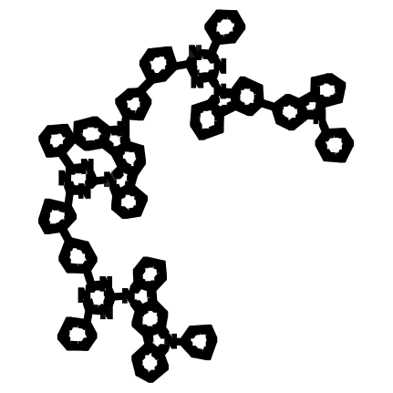 c1ccc(-c2nc(-c3cccc(-c4ccc(-n5c6ccccc6c6c5ccc5c7ccccc7n(-c7nc(-c8ccccc8)nc(-c8cccc(-c9ccc(-c%10nc(-c%11ccccc%11)nc(-n%11c%12ccccc%12c%12cc%13c(cc%12%11)c%11ccccc%11n%13-c%11ccccc%11)n%10)cc9)c8)n7)c56)cc4)c3)nc(-n3c4ccccc4c4cc(-c5ccc6c(c5)c5ccccc5n6-c5ccccc5)ccc43)n2)cc1